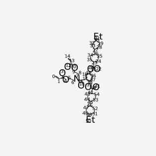 C=CC(=O)OCCN(CCOC(=O)C=C)C(=O)c1cc(OC(=O)C2CCC(C3CCC(CC)CC3)CC2)ccc1OC(=O)C1CCC(C2CCC(CC)CC2)CC1